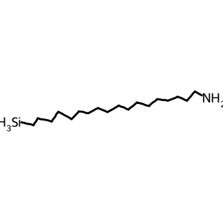 NCCCCCCCCCCCCCCCCCC[SiH3]